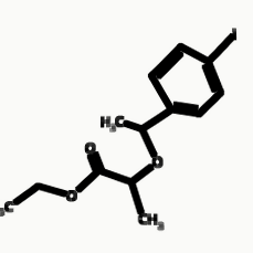 CCOC(=O)C(C)OC(C)c1ccc(I)cc1